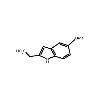 COc1ccc2[nH]c(CC(=O)O)cc2c1